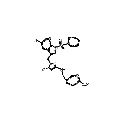 COc1ccc(CNc2cc(Cl)c(Cc3cn(S(=O)(=O)c4ccccc4)c4ncc(Cl)cc34)s2)cn1